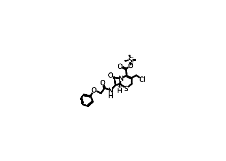 C[Si](C)(C)OC(=O)C1=C(CCl)CS[C@@H]2C(NC(=O)COc3ccccc3)C(=O)N12